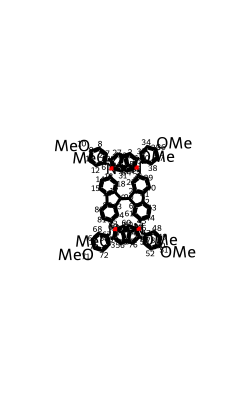 COc1ccc(N(c2ccc(OC)cc2)c2ccc3c(c2)C(C2c4cc(N(c5ccc(OC)cc5)c5ccc(OC)cc5)ccc4-c4ccc(N(c5ccc(OC)cc5)c5ccc(OC)cc5)cc42)c2cc(N(c4ccc(OC)cc4)c4ccc(OC)cc4)ccc2-3)cc1